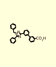 O=C(O)c1cccc(-c2cccc(-c3nc(-c4ccccc4)n(Cc4ccccc4)n3)c2)c1